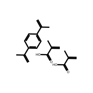 C=C(C)C(=O)O.C=C(C)C(=O)O.C=C(C)c1ccc(C(=C)C)cc1